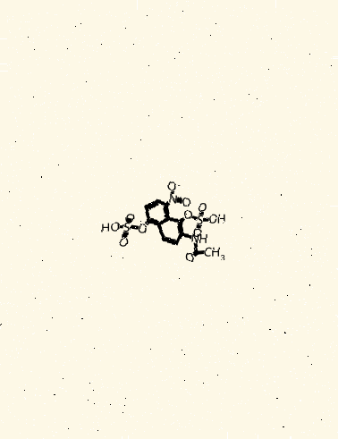 CC(=O)Nc1ccc2c(OS(=O)(=O)O)ccc([N+](=O)[O-])c2c1OS(=O)(=O)O